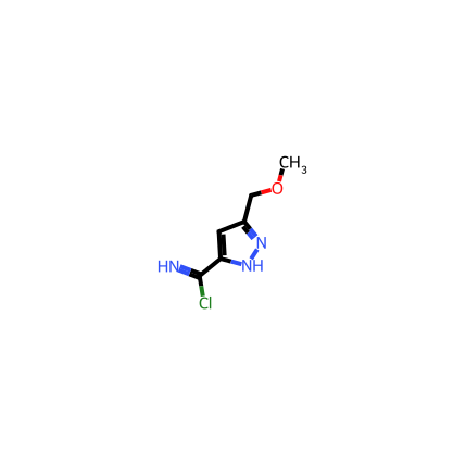 COCc1cc(C(=N)Cl)[nH]n1